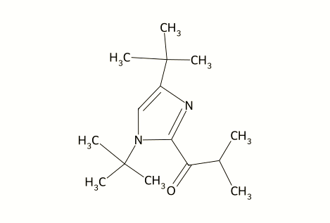 CC(C)C(=O)c1nc(C(C)(C)C)cn1C(C)(C)C